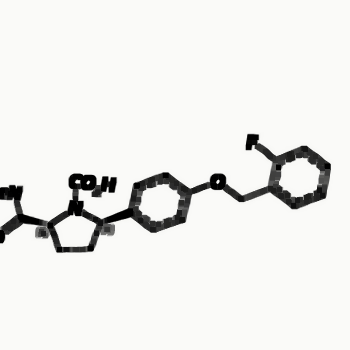 CNC(=O)[C@@H]1CC[C@H](c2ccc(OCc3ccccc3F)cc2)N1C(=O)O